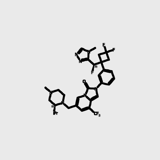 CC(C)[C@H]1CN(C)CCN1Cc1cc(C(F)(F)F)c2cn(-c3cccc(C4([C@@H](F)c5nncn5C)CC(F)(F)C4)c3)c(=O)n2c1